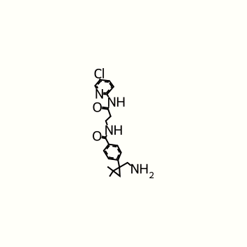 CC1(C)CC1(CN)c1ccc(C(=O)NCCC(=O)Nc2ccc(Cl)cn2)cc1